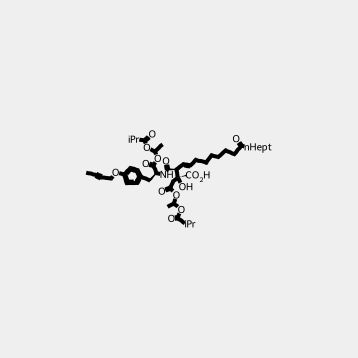 CC#CCOc1ccc(C[C@H](NC(=O)[C@@H](/C=C/CCCCCCC(=O)CCCCCCC)[C@@](O)(CC(=O)OC(C)OC(=O)C(C)C)C(=O)O)C(=O)OC(C)OC(=O)C(C)C)cc1